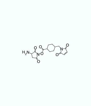 NC1CC(=O)N(OC(=O)C2CCC(CN3C(=O)C=CC3=O)CC2)C1=O